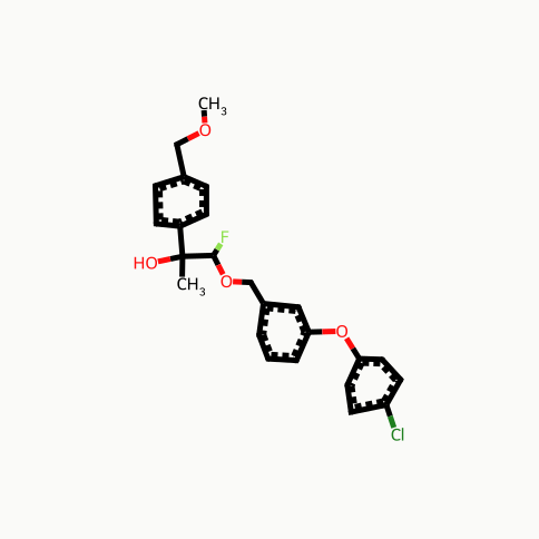 COCc1ccc(C(C)(O)C(F)OCc2cccc(Oc3ccc(Cl)cc3)c2)cc1